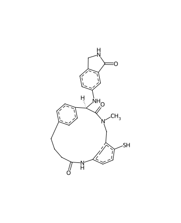 CN1Cc2cc(ccc2S)NC(=O)CCCc2ccc(cc2)[C@@H](Nc2ccc3c(c2)C(=O)NC3)C1=O